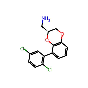 NC[C@H]1COc2cccc(-c3cc(Cl)ccc3Cl)c2O1